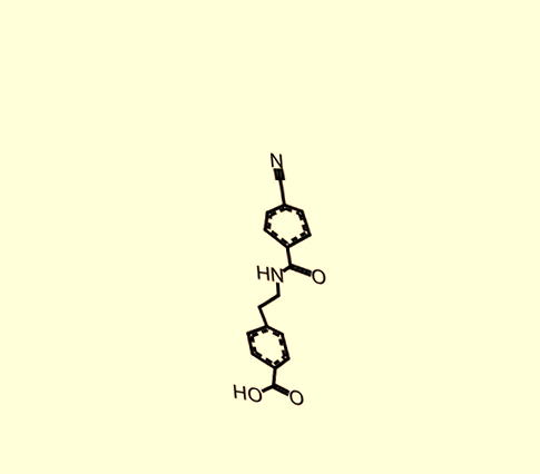 N#Cc1ccc(C(=O)NCCc2ccc(C(=O)O)cc2)cc1